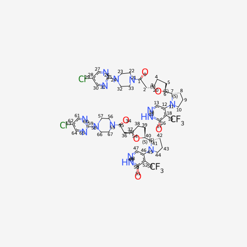 O=C(C[C@@H]1CC[C@@H]([C@@H]2CCCN2c2cn[nH]c(=O)c2C(F)(F)F)O1)N1CCN(c2ncc(Cl)cn2)CC1.O=C(C[C@H]1CC[C@@H]([C@@H]2CCCN2c2cn[nH]c(=O)c2C(F)(F)F)O1)N1CCN(c2ncc(Cl)cn2)CC1